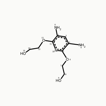 Nc1cc(N)c(OCCO)nc1OCCO